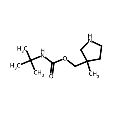 CC1(COC(=O)NC(C)(C)C)CCNC1